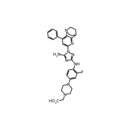 Nc1nc(Nc2ccc(N3CCN(CC(=O)O)CC3)cc2F)nn1-c1cc(-c2ccccc2)c2c(n1)C1CCN2CC1